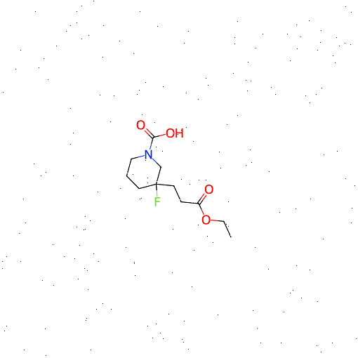 CCOC(=O)CCC1(F)CCCN(C(=O)O)C1